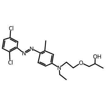 CCN(CCOCC(C)O)c1ccc(N=Nc2cc(Cl)ccc2Cl)c(C)c1